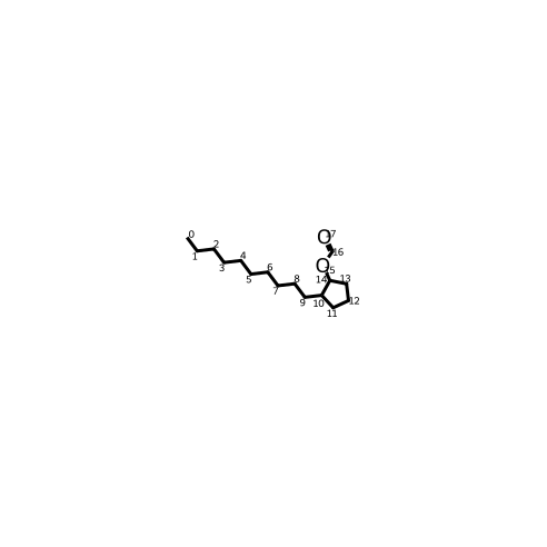 CCCCCCCCCCC1CCCC1OC=O